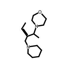 CC=C(CN1CCCCC1)C(C)N1CCOCC1